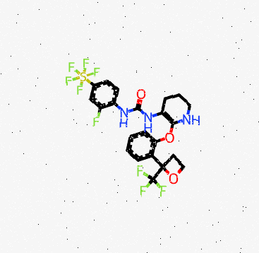 O=C(NC1=C(Oc2ccccc2C2(C(F)(F)F)CCO2)NCCC1)Nc1ccc(S(F)(F)(F)(F)F)cc1F